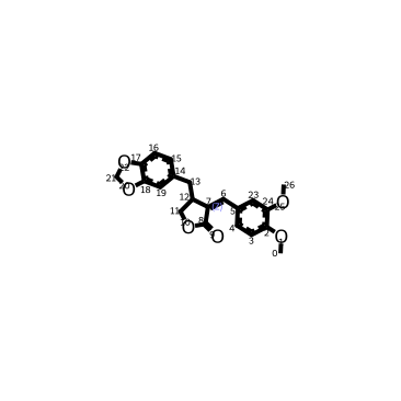 COc1ccc(/C=C2\C(=O)OCC2Cc2ccc3c(c2)OCO3)cc1OC